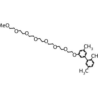 COCCOCCOCCOCCOCCOCCOCCOc1cc(C)cc(-c2cc(C)ccc2C)c1